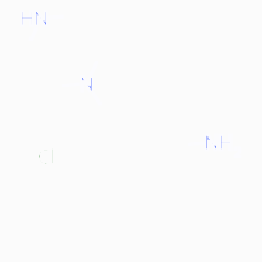 C=Cc1cc(Cl)c(N2CCNCC2)cc1N